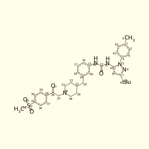 Cc1ccc(-n2nc(C(C)(C)C)cc2NC(=O)Nc2cccc(CC3CCN(CC(=O)c4ccc(S(C)(=O)=O)cc4)CC3)c2)cc1